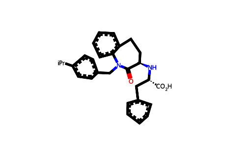 CC(C)c1ccc(CN2C(=O)[C@H](N[C@@H](Cc3ccccc3)C(=O)O)CCc3ccccc32)cc1